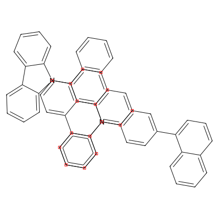 c1ccc(-c2ccccc2-c2c(-c3ccccc3)cccc2-c2ccccc2N(c2ccc(-c3cccc4ccccc34)cc2)c2cccc(-n3c4ccccc4c4ccccc43)c2)cc1